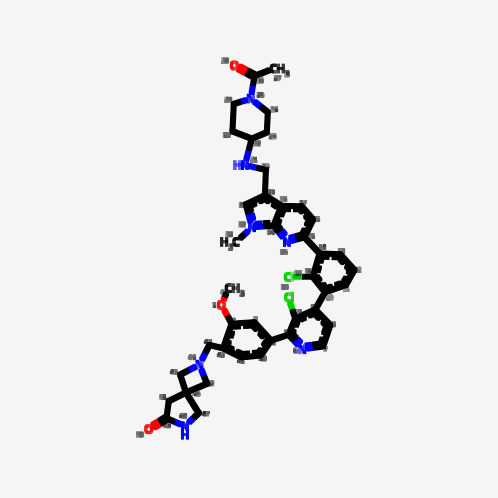 COc1cc(-c2nccc(-c3cccc(-c4ccc5c(CNC6CCN(C(C)=O)CC6)cn(C)c5n4)c3Cl)c2Cl)ccc1CN1CC2(CNC(=O)C2)C1